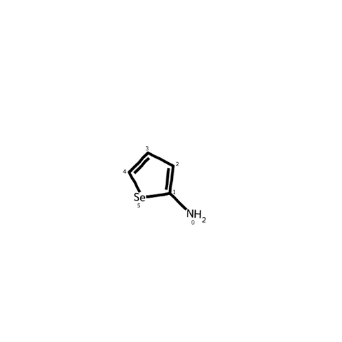 Nc1ccc[se]1